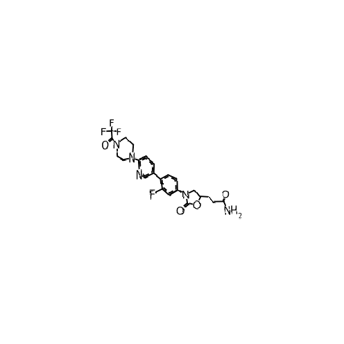 NC(=O)CCC1CN(c2ccc(-c3ccc(N4CCN(C(=O)C(F)(F)F)CC4)nc3)c(F)c2)C(=O)O1